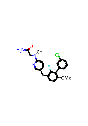 COc1ccc(Cc2ccc(N(C)CC(N)=O)nc2)c(F)c1-c1cccc(Cl)c1